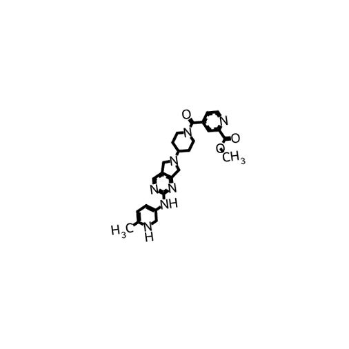 COC(=O)c1cc(C(=O)N2CCC(N3Cc4cnc(NC5=CC=C(C)NC5)nc4C3)CC2)ccn1